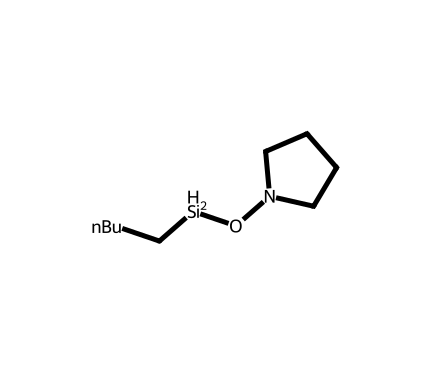 CCCCC[SiH2]ON1CCCC1